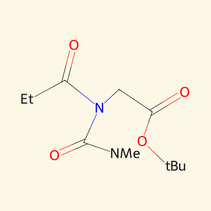 CCC(=O)N(CC(=O)OC(C)(C)C)C(=O)NC